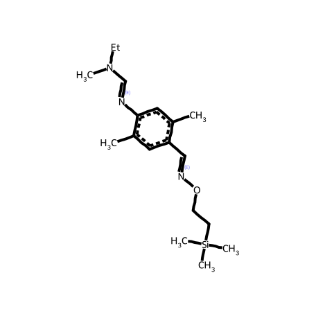 CCN(C)/C=N/c1cc(C)c(/C=N/OCC[Si](C)(C)C)cc1C